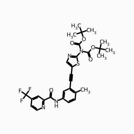 Cc1ccc(NC(=O)c2cc(C(F)(F)F)ccn2)cc1C#Cc1cnc(N(C(=O)OC(C)(C)C)C(=O)OC(C)(C)C)s1